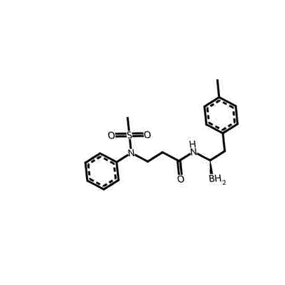 B[C@H](Cc1ccc(C)cc1)NC(=O)CCN(c1ccccc1)S(C)(=O)=O